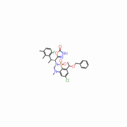 Cc1ccc(F)c(C(C)[C@@H](c2n[nH]c(=O)o2)N2CN(C)c3cc(Cl)cc(C(C)OCc4ccccc4)c3S2(=O)=O)c1C